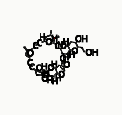 C=C1CC2CC[C@@]34CC5O[C@H]6[C@@H](O3)[C@H]3OC(CC[C@@H]3O[C@H]6[C@H]5O4)CC(=O)O[C@@H]3[C@@H](C)[C@@H]4O[C@H](CCO)[C@H](O)C[C@@H]4O[C@H]3C[C@H]3O[C@@H](CCC1O2)C[C@@H](C)C3=C